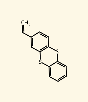 C=Cc1ccc2c(c1)Sc1ccccc1S2